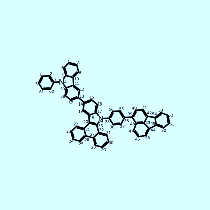 c1ccc(-n2c3ccccc3c3cc(-c4ccc5c(c4)c4c6ccccc6c6ccccc6c4n5-c4ccc(-c5ccc6c7c(cccc57)-c5ccccc5-6)cc4)ccc32)cc1